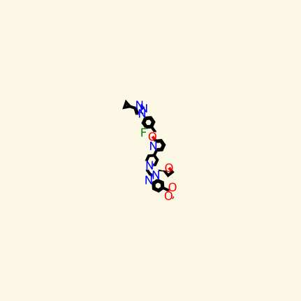 COC(=O)c1ccc2nc(CN3CCC(c4cccc(OCc5ccc(-n6cc(C7CC7)nn6)cc5F)n4)CC3)n(C[C@@H]3CCO3)c2c1